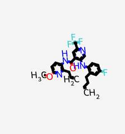 C=CCCc1cc(F)ccc1Nc1cnc(C(F)(F)F)cc1C(=O)Nc1ccc(OC)nc1CC=C